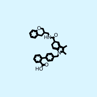 Cc1c(C)n(Cc2ccc(-c3ccccc3C(=O)O)cc2)c2c1=CC(C(=O)NCC1COc3ccccc3C1)CC=2